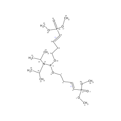 COP(=O)(/C=C/CCOP(OCC/C=C/P(=O)(OC)OC)N(C(C)C)C(C)C)OC